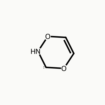 [C]1NOC=CO1